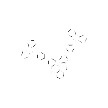 CC1(C)c2cccc3c2-n2c4c1cc(-c1ccc(N5c6ccccc6C6C=CC=CC65)cc1)cc4c1cc(-c4ccc(-n5c6ccccc6c6ccccc65)cc4)cc(c12)C3(C)C